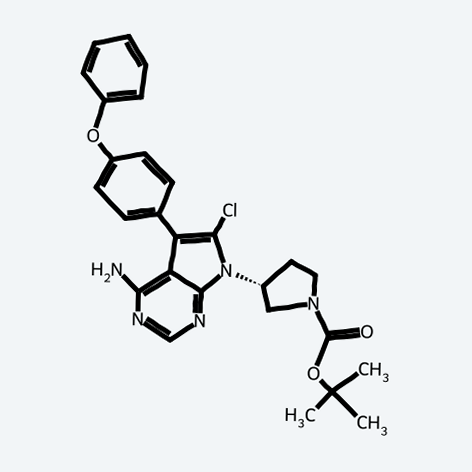 CC(C)(C)OC(=O)N1CC[C@@H](n2c(Cl)c(-c3ccc(Oc4ccccc4)cc3)c3c(N)ncnc32)C1